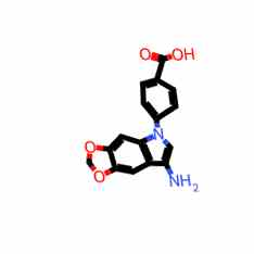 Nc1cn(-c2ccc(C(=O)O)cc2)c2cc3c(cc12)OCO3